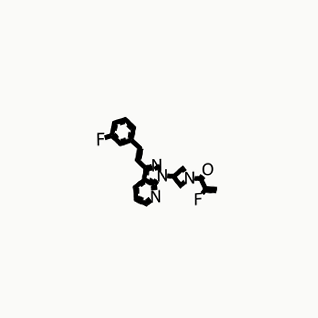 C=C(F)C(=O)N1CC(n2nc(C=Cc3cccc(F)c3)c3cccnc32)C1